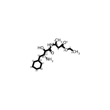 CCOC(=O)CC(C)NC(=O)C(O)[C@H](N)CC1CCCCC1